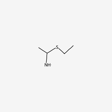 CCSC(C)[NH]